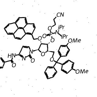 COc1ccc(C(OC[C@H]2O[C@@H](n3ccc(NC(=O)c4ccccc4)nc3=O)[C@H](OCc3ccc4ccc5cccc6ccc3c4c56)[C@@H]2OP(=O)(OCCC#N)N(C(C)C)C(C)C)(c2ccccc2)c2ccc(OC)cc2)cc1